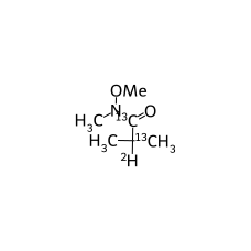 [2H]C(C)([13CH3])[13C](=O)N(C)OC